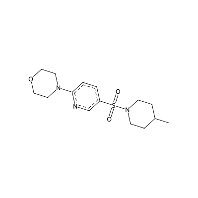 CC1CCN(S(=O)(=O)c2ccc(N3CCOCC3)nc2)CC1